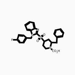 O=C(O)N1CCC(S(=O)(=O)c2nc3ccccc3n2Cc2ccc(F)cc2)CC1Cc1ccccc1